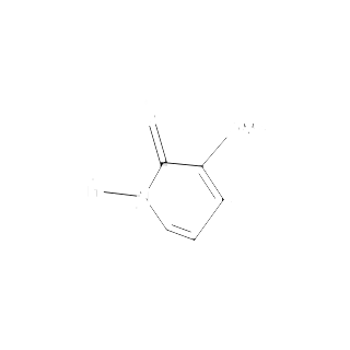 COc1cccn(C(C)C)c1=O